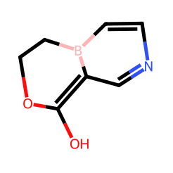 OC1=C2C=NC=CB2CCO1